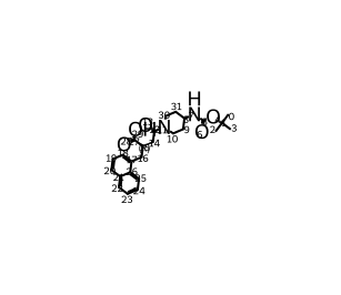 CC(C)(C)OC(=O)NC1CCN(C(=O)C[C@@H](Cc2cccc3ccccc23)C(=O)O)CC1